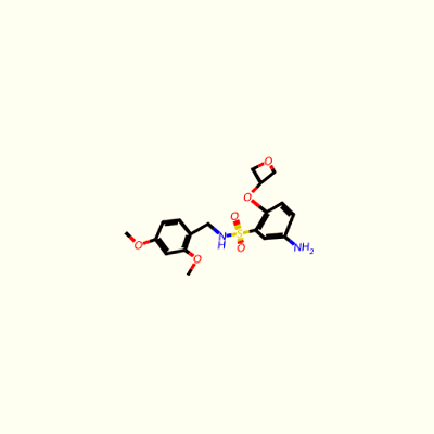 COc1ccc(CNS(=O)(=O)c2cc(N)ccc2OC2COC2)c(OC)c1